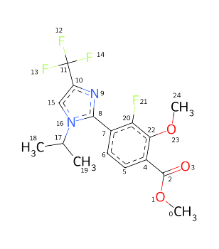 COC(=O)c1ccc(-c2nc(C(F)(F)F)cn2C(C)C)c(F)c1OC